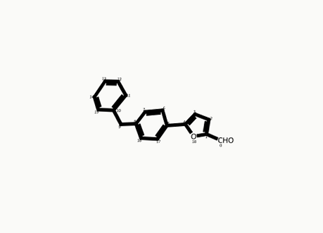 O=Cc1ccc(-c2ccc(Cc3ccccc3)cc2)o1